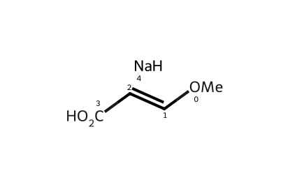 COC=CC(=O)O.[NaH]